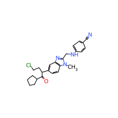 Cn1c(CNc2ccc(C#N)cc2)nc2cc(C(CCCl)C(=O)C3CCCC3)ccc21